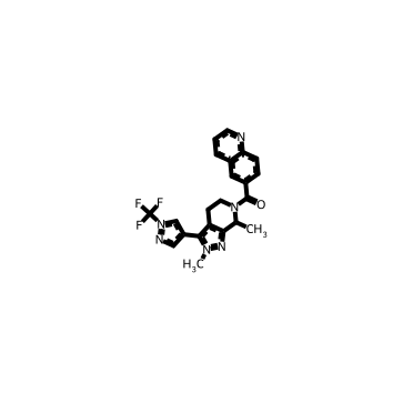 CC1c2nn(C)c(-c3cnn(C(F)(F)F)c3)c2CCN1C(=O)c1ccc2ncccc2c1